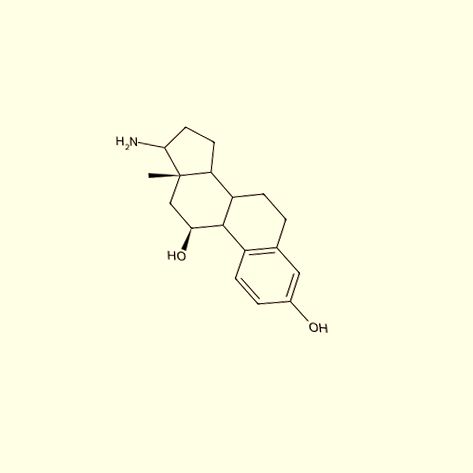 C[C@]12C[C@H](O)C3c4ccc(O)cc4CCC3C1CCC2N